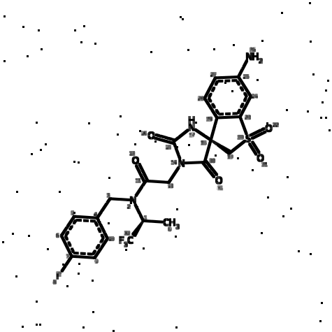 C[C@H](N(Cc1ccc(F)cc1)C(=O)CN1C(=O)N[C@@]2(CS(=O)(=O)c3cc(N)ccc32)C1=O)C(F)(F)F